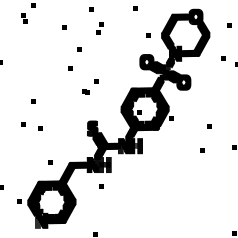 O=S(=O)(c1ccc(NC(=S)NCc2ccncc2)cc1)N1CCOCC1